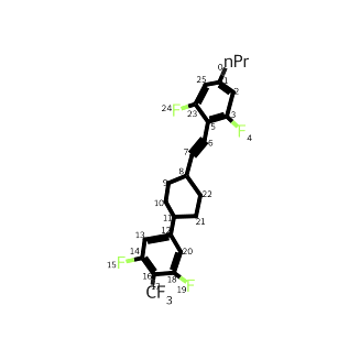 CCCc1cc(F)c(C#CC2CCC(c3cc(F)c(C(F)(F)F)c(F)c3)CC2)c(F)c1